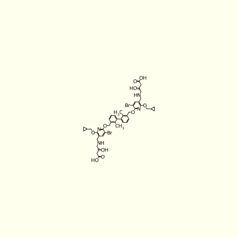 Cc1c(COc2nc(OCC3CC3)c(CNC[C@@H](O)CC(=O)O)cc2Br)cccc1-c1cccc(COc2nc(OCC3CC3)c(CNC[C@@H](O)CC(=O)O)cc2Br)c1C